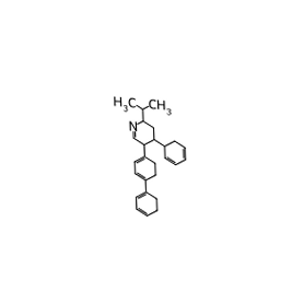 CC(C)C1CC(C2C=CC=CC2)C(C2=CC=C(C3=CC=CCC3)CC2)C=N1